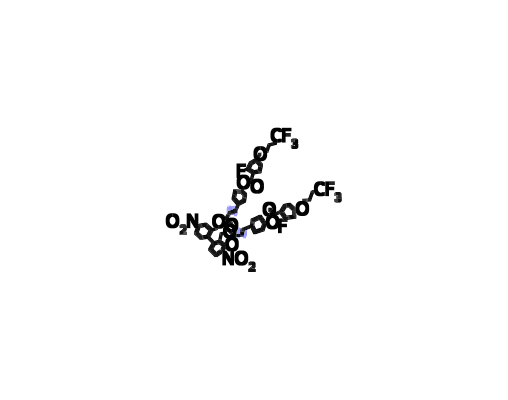 O=C(/C=C/c1ccc(OC(=O)c2ccc(OCCCC(F)(F)F)cc2F)cc1)OCc1cc([N+](=O)[O-])ccc1-c1ccc([N+](=O)[O-])cc1COC(=O)/C=C/c1ccc(OC(=O)c2ccc(OCCCC(F)(F)F)cc2F)cc1